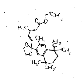 CCOC(=O)C=C(C)C=CC1(c2cc3c(cc2C)C(C)(C)CCC3(C)C)OCCO1